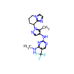 CNc1nc(Nc2cnn(C3CCCn4ccnc43)c2C)ncc1C(F)(F)F